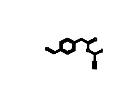 C#CC(I)OC(=O)Cc1ccc(C=O)cc1